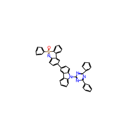 O=S1(c2ccccc2)=Nc2ccc(-c3ccc4c(c3)c3ccccc3n4-c3nc(-c4ccccc4)nc(-c4ccccc4)n3)cc2-c2ccccc21